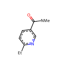 CCc1ccc(C(=O)NC)cn1